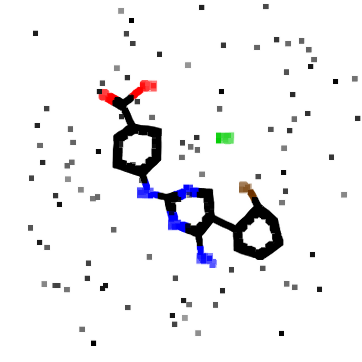 Cl.Nc1nc(Nc2ccc(C(=O)O)cc2)ncc1-c1ccccc1Br